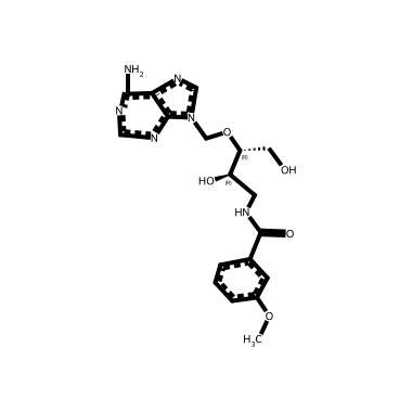 COc1cccc(C(=O)NC[C@@H](O)[C@@H](CO)OCn2cnc3c(N)ncnc32)c1